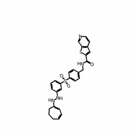 O=C(NCc1ccc(S(=O)(=O)c2cccc(NNC3=CC=CCCC3)c2)cc1)c1cc2ccncc2s1